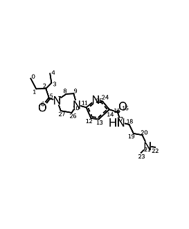 CCC(CC)C(=O)N1CCN(c2ccc(C(=O)NCCCN(C)C)cn2)CC1